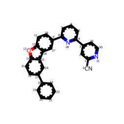 N#Cc1cc(-c2cccc(-c3ccc4oc5ccc(-c6ccccc6)cc5c4c3)n2)ccn1